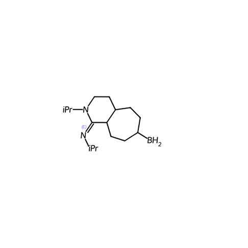 BC1CCC2CCN(C(C)C)/C(=N/C(C)C)C2CC1